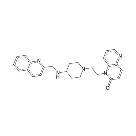 O=c1ccc2ncccc2n1CCN1CCC(NCc2ccc3ccccc3n2)CC1